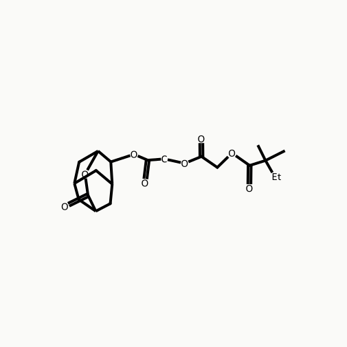 CCC(C)(C)C(=O)OCC(=O)OCC(=O)OC1C2CC3CC(C2)C(=O)OC1C3